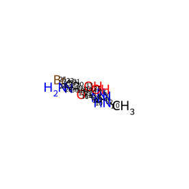 CCCNc1ncnc2c1ccn2[C@@H]1C[C@@]2(CO[C@H](c3ccc4cc(Br)c(N)nc4c3)C2)[C@@H](O)[C@H]1O